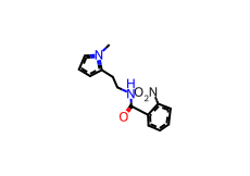 Cn1cccc1CCNC(=O)c1ccccc1[N+](=O)[O-]